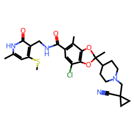 CSc1cc(C)[nH]c(=O)c1CNC(=O)c1cc(Cl)c2c(c1C)OC(C)(C1CCN(CC3(C#N)CC3)CC1)O2